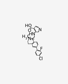 CN1CCc2cc(-c3ccc(Cl)cc3F)ccc2[C@@H]1CNc1cnccc1C(=O)O